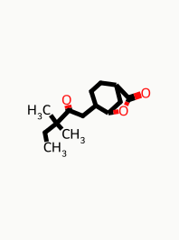 CCC(C)(C)C(=O)CC1CCC2CC1OC2=O